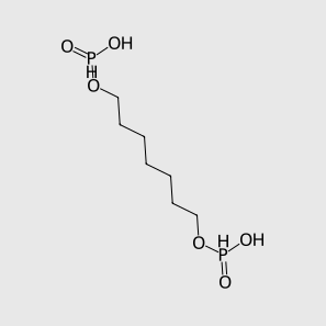 O=[PH](O)OCCCCCCCO[PH](=O)O